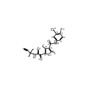 C#CC(C)(C)NC(=O)C(=O)c1sc(C)c(C(=O)Nc2ccc(F)c(Cl)c2)c1C